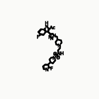 CC(=O)c1[nH]c2ccc(F)cc2c1-c1cn(CC2CCN(CCNS(=O)(=O)N3CCC(c4cccnc4F)CC3)CC2)nn1